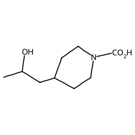 CC(O)CC1CCN(C(=O)O)CC1